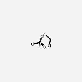 ClCCl.O=[PH](Cl)Cl